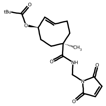 CC(C)(C)C(=O)O[C@H]1/C=C/CC[C@@](C)(C(=O)NCN2C(=O)C=CC2=O)CC1